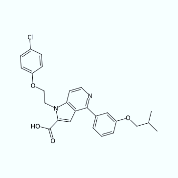 CC(C)COc1cccc(-c2nccc3c2cc(C(=O)O)n3CCOc2ccc(Cl)cc2)c1